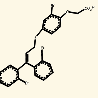 CCc1ccccc1C(=CCSc1ccc(OCC(=O)O)c(Br)c1)c1ccccc1CC